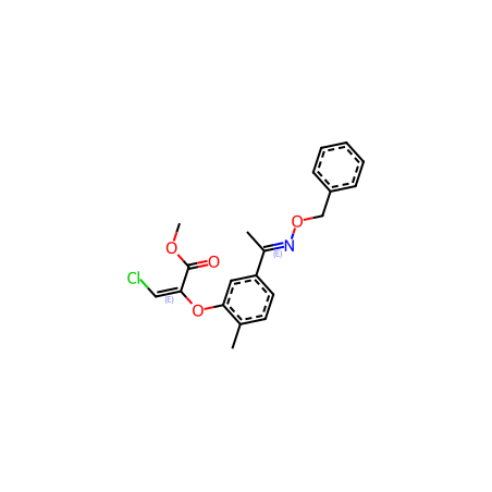 COC(=O)/C(=C\Cl)Oc1cc(/C(C)=N/OCc2ccccc2)ccc1C